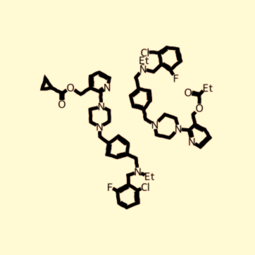 CCC(=O)OCc1cccnc1N1CCN(Cc2ccc(CN(CC)Cc3c(F)cccc3Cl)cc2)CC1.CCN(Cc1ccc(CN2CCN(c3ncccc3COC(=O)C3CC3)CC2)cc1)Cc1c(F)cccc1Cl